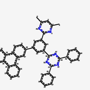 Cc1cc(C)nc(-c2cc(-c3ccc4c5ccccc5c5ccccc5c4c3)cc(-c3nc(-c4ccccc4)nc(-c4ccccc4)n3)c2)n1